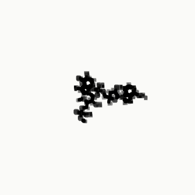 CO[C@H](COP(=O)(O)OC)[C@@H](O)[C@@H](OP(=O)(S)OC[C@]1(C)C[C@@H](O)[C@H](n2cnc3c(N)ncnc32)O1)n1cc(F)c2c(=O)[nH]cnc21